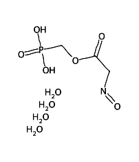 O.O.O.O.O=NCC(=O)OCP(=O)(O)O